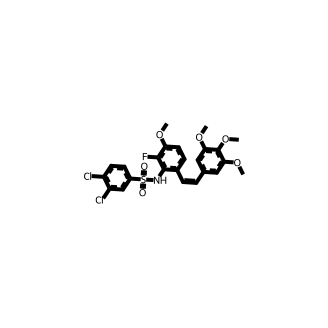 COc1ccc(/C=C\c2cc(OC)c(OC)c(OC)c2)c(NS(=O)(=O)c2ccc(Cl)c(Cl)c2)c1F